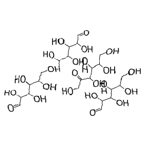 CC(O)C(O)C(O)C(O)C=O.O=C(CO)C(O)C(O)C(O)CO.O=CC(O)C(O)C(O)C(O)CO.O=CC(O)C(O)C(O)C(O)CO